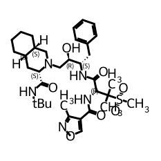 Cc1nocc1C(=O)N[C@H](C(=O)N[C@@H](Cc1ccccc1)[C@H](O)CN1C[C@H]2CCCC[C@H]2C[C@H]1C(=O)NC(C)(C)C)C(C)(C)S(C)(=O)=O